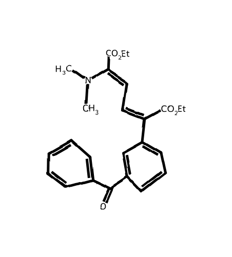 CCOC(=O)C(=CC=C(C(=O)OCC)N(C)C)c1cccc(C(=O)c2ccccc2)c1